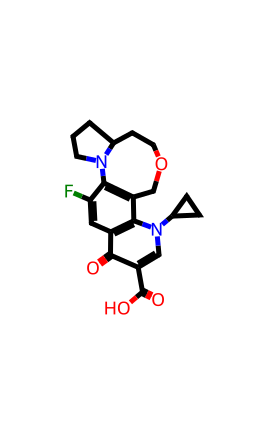 O=C(O)c1cn(C2CC2)c2c3c(c(F)cc2c1=O)N1CCCC1CCOC3